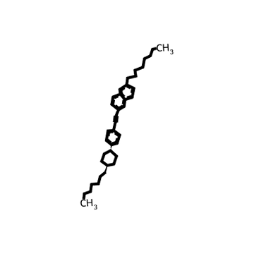 CCCCCCCCc1ccc2cc(C#Cc3ccc([C@H]4CC[C@H](CCCCCCC)CC4)cc3)ccc2c1